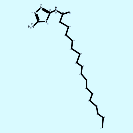 CCCCCCCCCCCCCCCCCC(C)Nc1nnc(N)s1